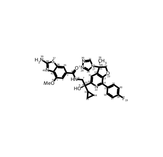 COc1cc(C(=O)NC[C@](O)(c2cc3c(c(-c4ccc(F)cc4)n2)OC[C@]3(C)n2cnnc2)C2CC2)cc2sc(N)nc12